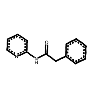 O=C([CH]c1ccccc1)Nc1ccccn1